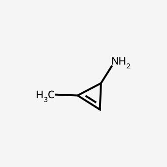 CC1=CC1N